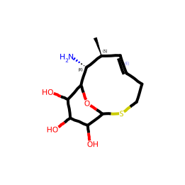 C[C@H]1/C=C/CCSC2OC(C(O)C(O)C2O)[C@@H]1N